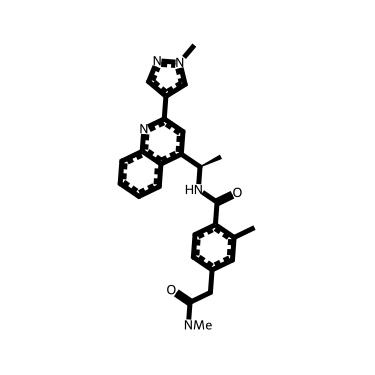 CNC(=O)Cc1ccc(C(=O)N[C@H](C)c2cc(-c3cnn(C)c3)nc3ccccc23)c(C)c1